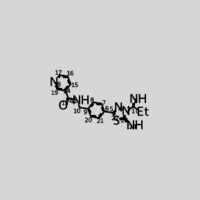 CCC(=N)n1nc(-c2ccc(CNC(=O)c3cccnc3)cc2)sc1=N